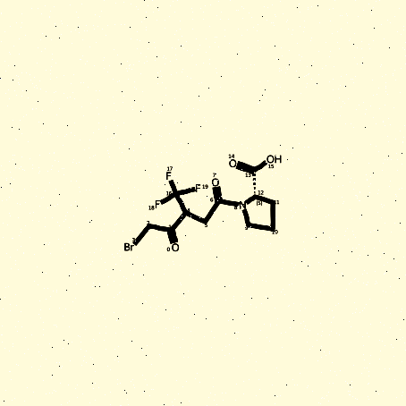 O=C(CBr)C(CC(=O)N1CCC[C@H]1C(=O)O)C(F)(F)F